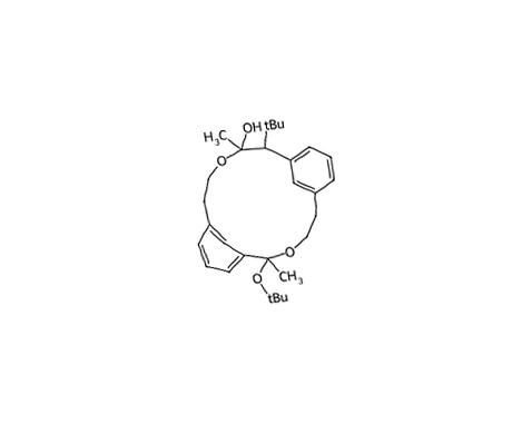 CC(C)(C)OC1(C)OCCc2cccc(c2)C(C(C)(C)C)C(C)(O)OCCc2cccc1c2